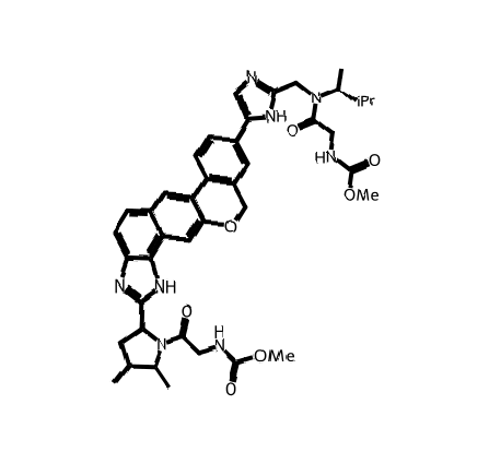 COC(=O)NCC(=O)N1C(c2nc3ccc4cc5c(cc4c3[nH]2)OCc2cc(-c3cnc(CN(C(=O)CNC(=O)OC)[C@@H](C)C(C)C)[nH]3)ccc2-5)CC(C)C1C